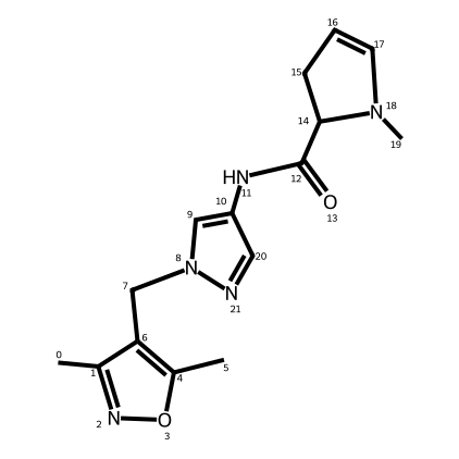 Cc1noc(C)c1Cn1cc(NC(=O)C2CC=CN2C)cn1